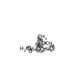 CCOc1nn(CC)cc1S(=O)(=O)N1CC(CCC(=O)OC)Oc2ccc(C=Cc3cccnc3)cc21